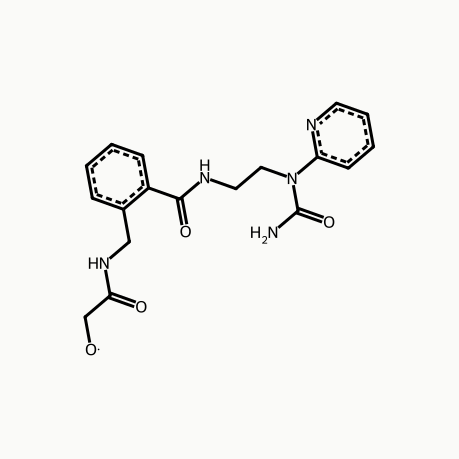 NC(=O)N(CCNC(=O)c1ccccc1CNC(=O)C[O])c1ccccn1